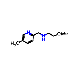 COCCNCc1ccc(C)cn1